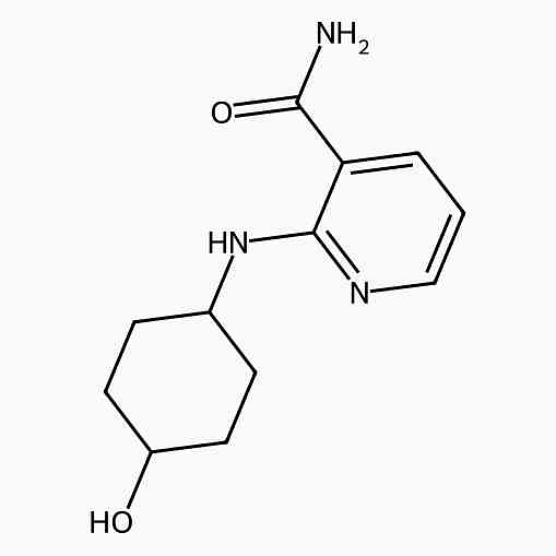 NC(=O)c1cccnc1NC1CCC(O)CC1